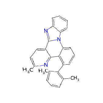 Cc1ccc2c(n1)c1c(-c3c(C)cccc3C)cccc1n1c3ccccc3nc21